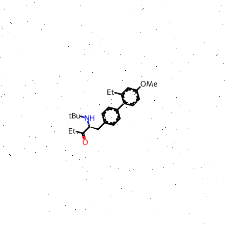 CCC(=O)[C@H](Cc1ccc(-c2ccc(OC)cc2CC)cc1)NC(C)(C)C